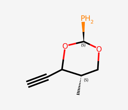 C#CC1O[C@@H](P)OC[C@@H]1C